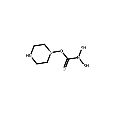 O=C(ON1CCNCC1)N(S)S